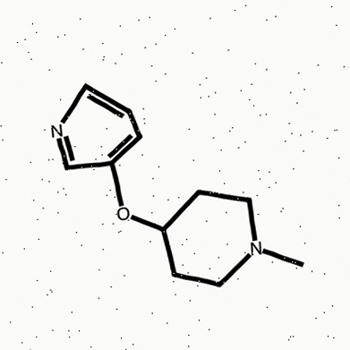 CN1CCC(Oc2cccnc2)CC1